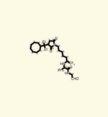 CCC(CC)(C1CCCCCCC1)C1CC(=O)N(CCCCCC(NC(C(=O)NCC=O)C(C)C)C(F)(F)F)C1=O